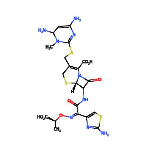 C[C@H](O/N=C(\C(=O)NC1C(=O)N2C(C(=O)O)=C(CSC3=NC(N)=CC(N)N3C)CS[C@@H]12)c1csc(N)n1)C(=O)O